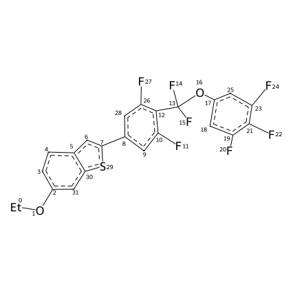 CCOc1ccc2cc(-c3cc(F)c(C(F)(F)Oc4cc(F)c(F)c(F)c4)c(F)c3)sc2c1